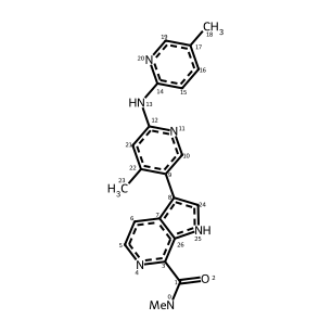 CNC(=O)c1nccc2c(-c3cnc(Nc4ccc(C)cn4)cc3C)c[nH]c12